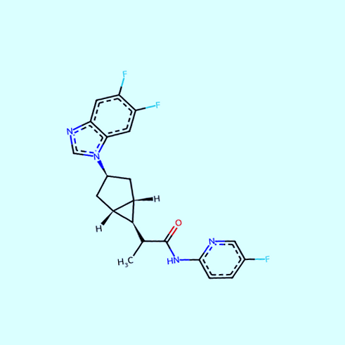 CC(C(=O)Nc1ccc(F)cn1)[C@H]1[C@@H]2C[C@@H](n3cnc4cc(F)c(F)cc43)C[C@@H]21